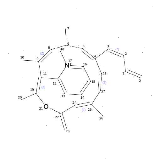 C=C/C=C\C1=CC(C)/C=C(C)\C(c2cccc[n+]2C)=C(/C)OC(=C)/C=C(C)/C=C\1